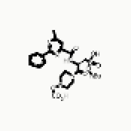 CCCCOP(=O)(O)C[C@H](NC(=O)c1cc(C)nc(-c2ccccc2)n1)C(=O)N1CCN(OC(=O)O)CC1